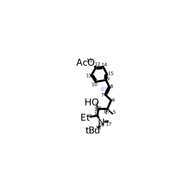 CCC([C@H](O)[C@H](C)C/C=C/c1ccc(OC(C)=O)cc1)N(C)C(C)(C)C